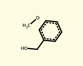 C[O].OCc1ccccc1